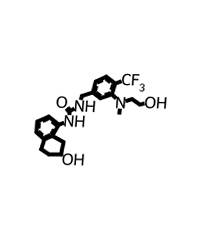 CN(CCO)c1cc(CNC(=O)Nc2cccc3c2C[C@H](O)CC3)ccc1C(F)(F)F